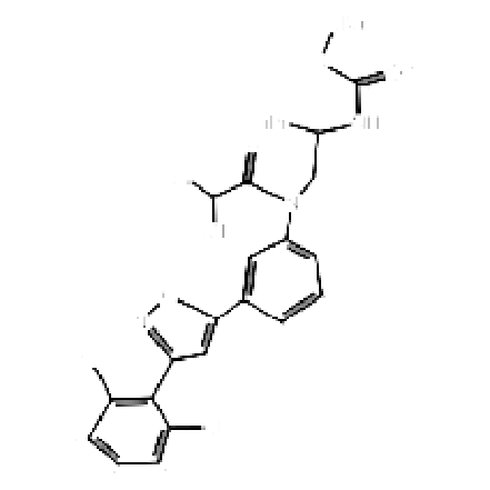 CC(C)C(CN(C(=O)C(Cl)Cl)c1cccc(-c2cc(-c3c(Cl)cccc3Cl)no2)c1)NC(=O)OC(C)(C)C